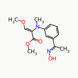 CO/C=C(/C(=O)OC)N(C)c1cccc(/C(C)=N/O)c1